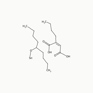 CCCCC(=CC(=O)O)C(=O)O.CCCCC(CCCC)[O][Sn]